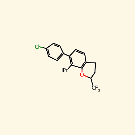 CC(C)c1c(-c2ccc(Cl)cc2)ccc2c1OC(C(F)(F)F)CC2